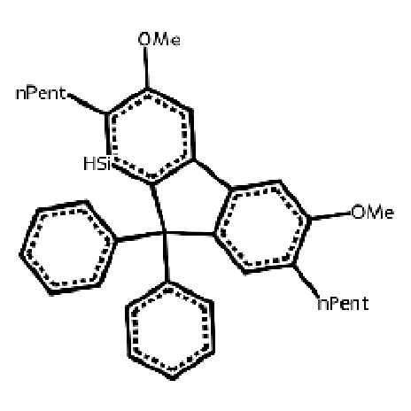 CCCCCc1cc2c(cc1OC)-c1cc(OC)c(CCCCC)[siH]c1C2(c1ccccc1)c1ccccc1